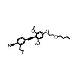 CCCCOCCOc1cc(OC)c(C#Cc2ccc(C#N)c(CF)c2)c(OC)c1